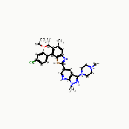 CCOC(=O)[C@@H](OC(C)(C)C)c1c(C)cc2nc(-c3cnc4c(c3)c(N3CCN(C(C)C)CC3)nn4C)sc2c1-c1ccc(Cl)cc1